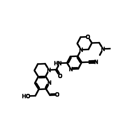 CN(C)CC1CN(c2cc(NC(=O)N3CCCc4cc(CO)c(C=O)nc43)ncc2C#N)CCO1